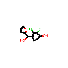 Oc1ccc(C(O)c2ccco2)c(Cl)c1Cl